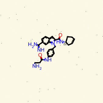 N=C(N)c1ccc2cc(C(=O)N[C@@H]3CC=CCC3)n(Cc3ccc(NC(=O)CCN)cc3)c2c1